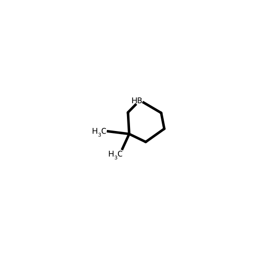 CC1(C)CBCCC1